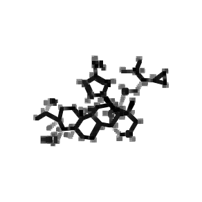 CC(C)[C@@H](C)[C@@]1(C)CC[C@]2(C)[C@H]3CC[C@@H]4[C@@]5(COC[C@@]4(C)[C@@H](OC[C@@H](C4CC4)N(C)C)[C@H](n4nnc(N)n4)C5)C3=CC[C@@]2(C)[C@@H]1C(=O)O